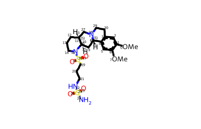 COc1cc2c(cc1OC)[C@@H]1C[C@@H]3[C@@H](CCCN3S(=O)(=O)CCCNS(N)(=O)=O)CN1CC2